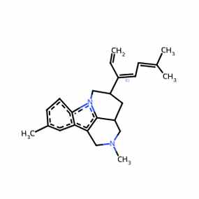 C=C/C(=C\C=C(C)C)C1CC2CN(C)Cc3c2n(c2ccc(C)cc32)C1